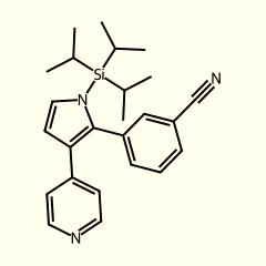 CC(C)[Si](C(C)C)(C(C)C)n1ccc(-c2ccncc2)c1-c1cccc(C#N)c1